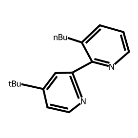 CCCCc1cccnc1-c1cc(C(C)(C)C)ccn1